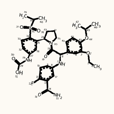 CCOc1cc([C@@H](Nc2ccc(F)c(C(N)=O)c2)C(=O)N2CCC[C@@H]2c2cc(NC(=O)O)ccc2S(=O)(=O)C(C)C)ccc1OC(C)C